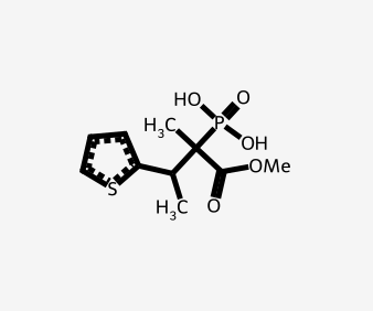 COC(=O)C(C)(C(C)c1cccs1)P(=O)(O)O